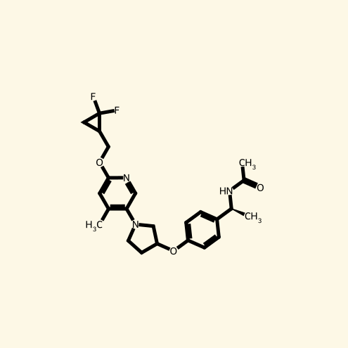 CC(=O)N[C@@H](C)c1ccc(OC2CCN(c3cnc(OCC4CC4(F)F)cc3C)C2)cc1